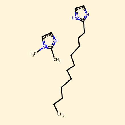 CCCCCCCCCCCc1ncc[nH]1.Cc1nccn1C